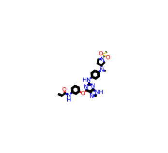 C=CC(=O)Nc1cccc(Oc2nc(Nc3ccc(N(C)C4CCN(S(C)(=O)=O)C4)cc3)nc3[nH]cnc23)c1